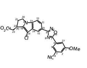 COc1cc(C#N)cc(-c2nc(-c3ccc4c(c3)c(Cl)c3n4CC[C@@H]3CC(=O)O)no2)c1